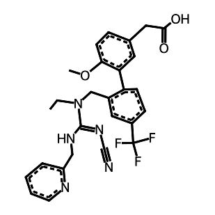 CCN(Cc1cc(C(F)(F)F)ccc1-c1cc(CC(=O)O)ccc1OC)C(=NC#N)NCc1ccccn1